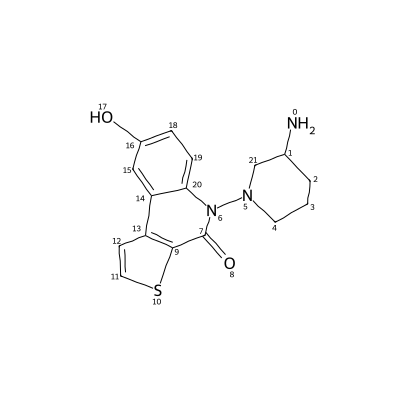 NC1CCCN(n2c(=O)c3sccc3c3cc(O)ccc32)C1